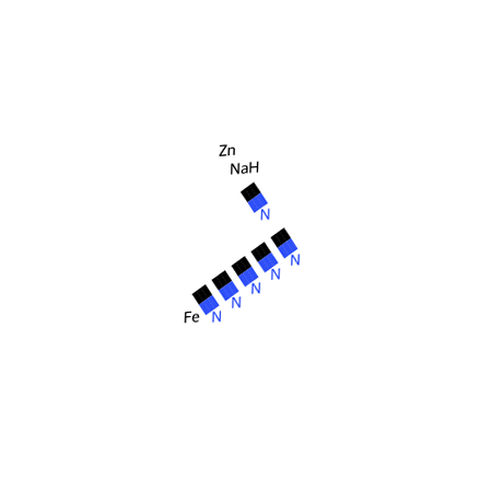 C#N.C#N.C#N.C#N.C#N.C#N.[Fe].[NaH].[Zn]